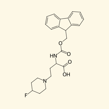 O=C(NC(CCN1CCC(F)CC1)C(=O)O)OCC1c2ccccc2-c2ccccc21